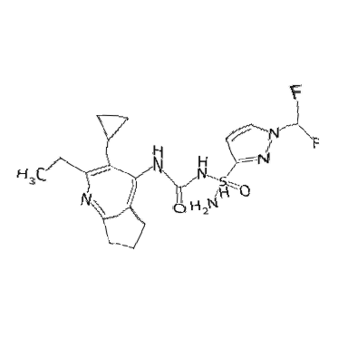 CCc1nc2c(c(NC(=O)N[SH](N)(=O)c3ccn(C(F)F)n3)c1C1CC1)CCC2